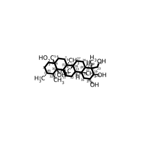 C[C@@H]1CC[C@]2(C(=O)O)CC[C@]3(C)C(=CC[C@@H]4[C@@]5(C)C[C@@H](O)[C@H](O)[C@@](C)(CO)[C@@H]5CC[C@]43C)[C@]2(O)[C@H]1C